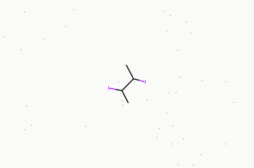 [CH2]C(I)C(C)I